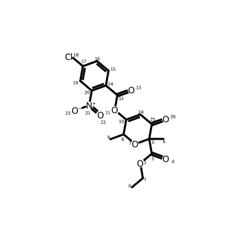 CCOC(=O)C1(C)OC(C)C(OC(=O)c2ccc(Cl)cc2[N+](=O)[O-])=CC1=O